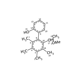 COC.Cc1c(C)c(C)c(-c2ccccc2O)c(O)c1C